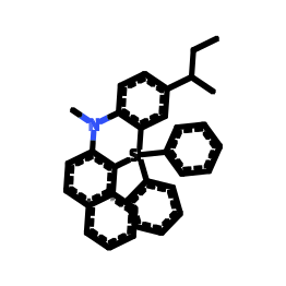 CCC(C)c1ccc2c(c1)[Si](c1ccccc1)(c1ccccc1)c1c(ccc3ccccc13)N2C